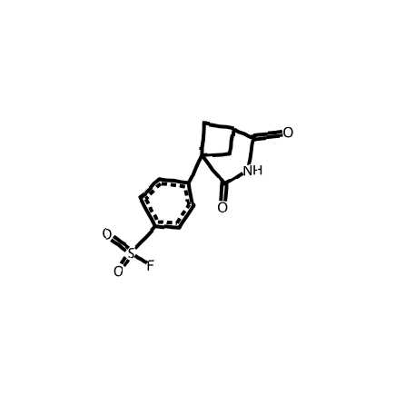 O=C1NC(=O)C2(c3ccc(S(=O)(=O)F)cc3)CC1C2